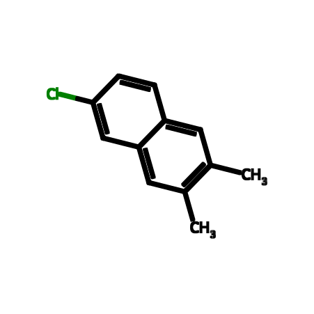 Cc1cc2ccc(Cl)cc2cc1C